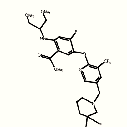 COCC(COC)Nc1cc(F)c(Oc2ncc(CN3CCCC(F)(F)C3)cc2C(F)(F)F)cc1C(=O)OC